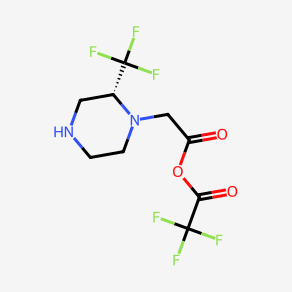 O=C(CN1CCNC[C@@H]1C(F)(F)F)OC(=O)C(F)(F)F